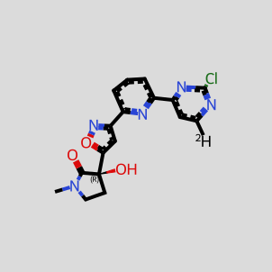 [2H]c1cc(-c2cccc(-c3cc([C@]4(O)CCN(C)C4=O)on3)n2)nc(Cl)n1